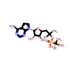 CCC(C)(CC1O[C@@H](n2ccc3c(N)ncnc32)[C@H](O)[C@@H]1O)OP(=O)(O)[C@@](C)(O)CC